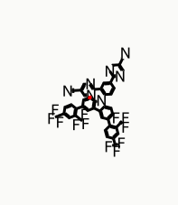 N#Cc1cnc(-c2ccc(-n3c4ccc(-c5ccc(C(F)(F)F)cc5C(F)(F)F)cc4c4cc(-c5ccc(C(F)(F)F)cc5C(F)(F)F)ccc43)c(-c3ncc(C#N)cn3)c2)nc1